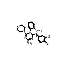 COc1ccccc1N1C(N2CCOCC2)=NC(N)=NC1Nc1ccc(Cl)c(Cl)c1